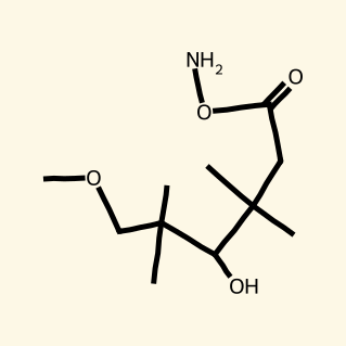 COCC(C)(C)C(O)C(C)(C)CC(=O)ON